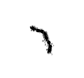 C=Cc1c(F)c(F)c(Oc2ccc(C(c3ccc(OC(C)c4c(F)c(F)c(S(=O)(=O)c5c(F)c(F)c(Oc6ccc(C(c7ccc(OC(CC)c8c(F)c(F)c(C=C)c(F)c8F)cc7)(C(F)(F)F)C(F)(F)F)cc6)c(F)c5F)c(F)c4F)cc3)(C(F)(F)F)C(F)(F)F)cc2)c(F)c1F